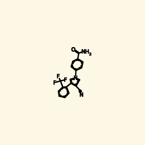 N#Cc1cn(-c2ccc(C(N)=O)cc2)cc1-c1ccccc1C(F)(F)F